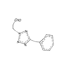 O=CCn1nnc(-c2ccccc2)n1